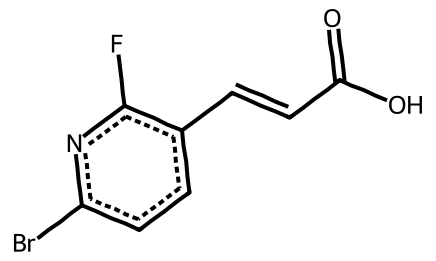 O=C(O)/C=C/c1ccc(Br)nc1F